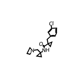 O=C(NC1(CN2CCC2)CC1)C1(Cc2cccc(Cl)c2)CC1